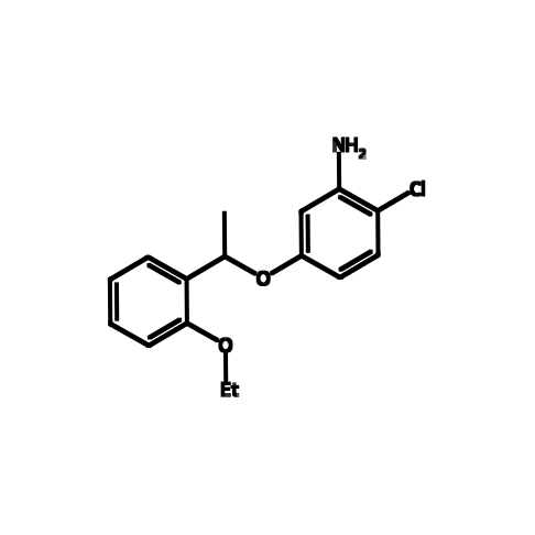 CCOc1ccccc1C(C)Oc1ccc(Cl)c(N)c1